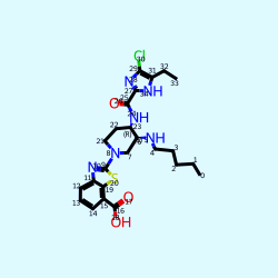 CCCCCN[C@H]1CN(c2nc3cccc(C(=O)O)c3s2)CC[C@H]1NC(=O)c1nc(Cl)c(CC)[nH]1